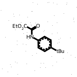 CCOC(=O)C(=O)Nc1ccc(C(C)(C)C)cc1